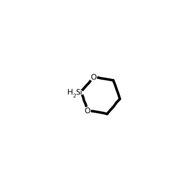 C1CO[SiH2]OC1